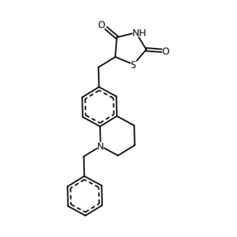 O=C1NC(=O)C(Cc2ccc3c(c2)CCCN3Cc2ccccc2)S1